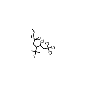 CCOC(=O)CC(C(Cl)CC(Cl)(Cl)Cl)C(C)(C)F